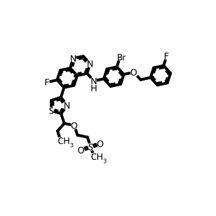 CCC(OCCS(C)(=O)=O)c1nc(-c2cc3c(Nc4ccc(OCc5cccc(F)c5)c(Br)c4)ncnc3cc2F)cs1